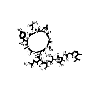 COC[C@H]1NC(=O)[C@H](NC(=O)C(NC(=O)[C@@H](NC(=O)[C@H](NC(=O)[C@H](NC(=O)CC(O)/C=C\C(C)CC(C)C)[C@H](O)C(N)=O)[C@@H](C)O)[C@H](C)N)C(C)C(C)C(N)=O)[C@@H](C)OC(=O)[C@H](C)N(C)C(=O)[C@@H]([C@H](OC)c2ccc(O)cc2)NC(=O)[C@H](CCC(N)=O)N(C)C(=O)[C@H](CC(C)C)NC(=O)CNC1=O